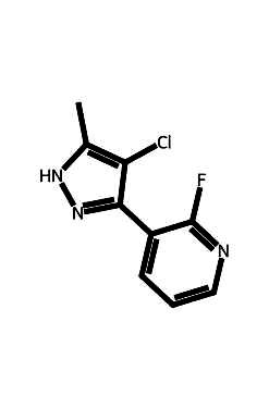 Cc1[nH]nc(-c2cccnc2F)c1Cl